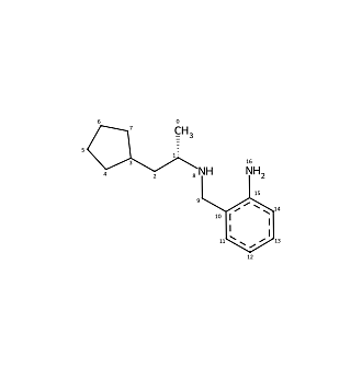 C[C@@H](CC1CCCC1)NCc1ccccc1N